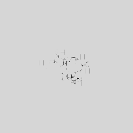 C=CC[N+](CC=C)(CC=C)CC=C.CC(C)CCS(=O)(=O)O